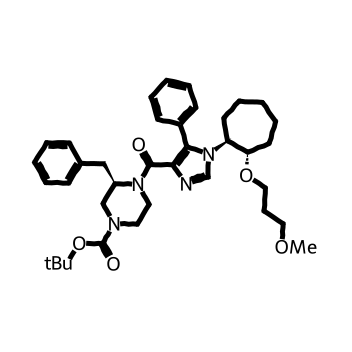 COCCCO[C@H]1CCCCC[C@@H]1n1cnc(C(=O)N2CCN(C(=O)OC(C)(C)C)C[C@H]2Cc2ccccc2)c1-c1ccccc1